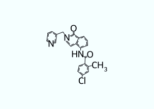 Cc1cc(Cl)ccc1C(=O)Nc1cccc2c(=O)n(Cc3cccnc3)ccc12